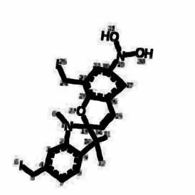 CN1c2cc(CI)ccc2C(C)(C)C12C=Cc1cc(N(O)O)cc(CI)c1O2